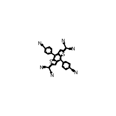 N#CC(C#N)=c1cc2c(-c3ccc(C#N)cc3)c3sc(=C(C#N)C#N)cc3c(-c3ccc(C#N)cc3)c2s1